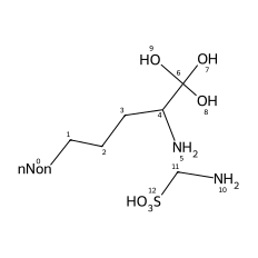 CCCCCCCCCCCCC(N)C(O)(O)O.NCS(=O)(=O)O